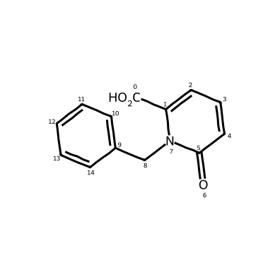 O=C(O)c1cccc(=O)n1Cc1ccccc1